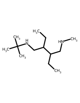 CCC(CNC)C(CC)CNC(C)(C)C